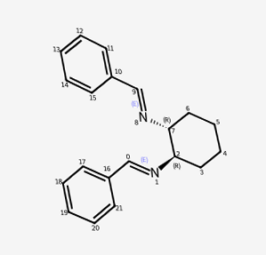 C(=N\[C@@H]1CCCC[C@H]1/N=C/c1ccccc1)/c1ccccc1